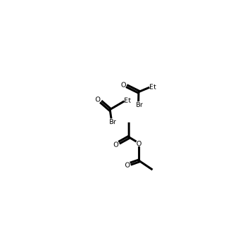 CC(=O)OC(C)=O.CCC(=O)Br.CCC(=O)Br